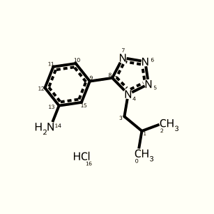 CC(C)Cn1nnnc1-c1cccc(N)c1.Cl